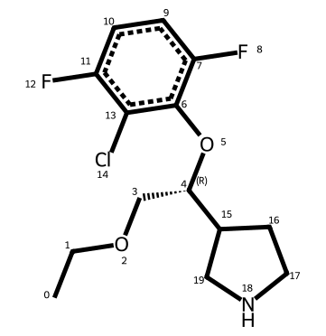 CCOC[C@H](Oc1c(F)ccc(F)c1Cl)C1CCNC1